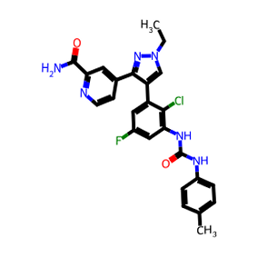 CCn1cc(-c2cc(F)cc(NC(=O)Nc3ccc(C)cc3)c2Cl)c(-c2ccnc(C(N)=O)c2)n1